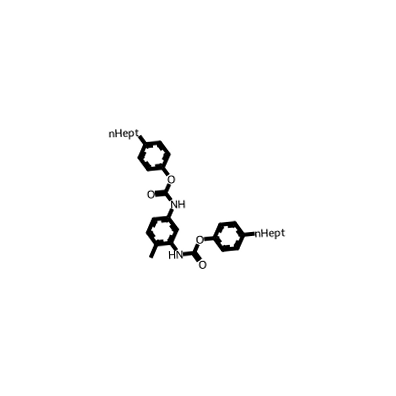 CCCCCCCc1ccc(OC(=O)Nc2ccc(C)c(NC(=O)Oc3ccc(CCCCCCC)cc3)c2)cc1